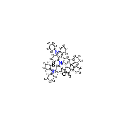 Cc1cc2c3c(c1)N(c1ccc4c(c1)C(c1ccccc1)(c1ccccc1)c1ccccc1-4)c1cc(N(c4ccccc4)c4ccccc4)ccc1B3c1ccccc1N2c1ccccc1